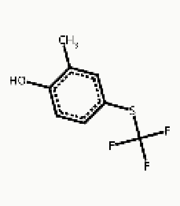 Cc1cc(SC(F)(F)F)ccc1O